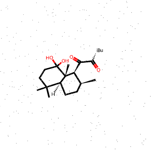 CC[C@@H](C)C(=O)C(=O)[C@H]1[C@@H](C)CC[C@H]2C(C)(C)CCC(O)(O)[C@]12C